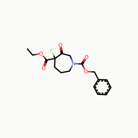 CCOC(=O)C1(F)CCCN(C(=O)OCc2ccccc2)CC1=O